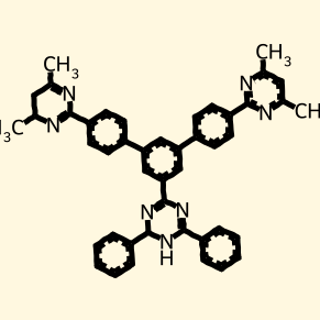 CC1=NC(c2ccc(-c3cc(C4=NC(c5ccccc5)NC(c5ccccc5)=N4)cc(-c4ccc(-c5nc(C)cc(C)n5)cc4)c3)cc2)=NC(C)C1